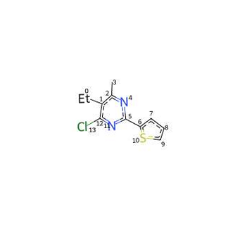 CCc1c(C)nc(-c2cccs2)nc1Cl